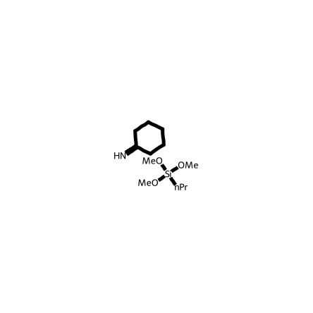 CCC[Si](OC)(OC)OC.N=C1CCCCC1